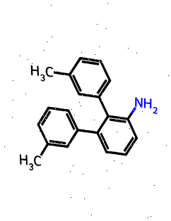 Cc1cccc(-c2cccc(N)c2-c2cccc(C)c2)c1